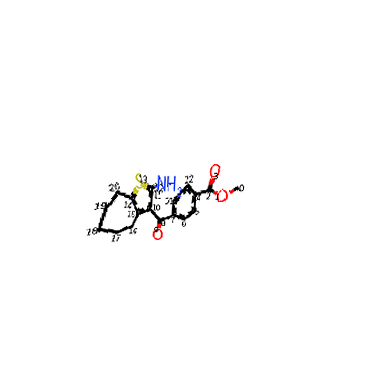 COC(=O)c1ccc(C(=O)c2c(N)sc3c2CCCCC3)cc1